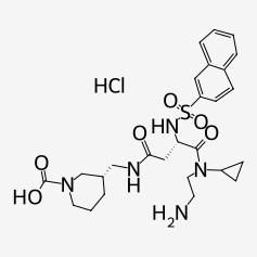 Cl.NCCN(C(=O)[C@H](CC(=O)NC[C@@H]1CCCN(C(=O)O)C1)NS(=O)(=O)c1ccc2ccccc2c1)C1CC1